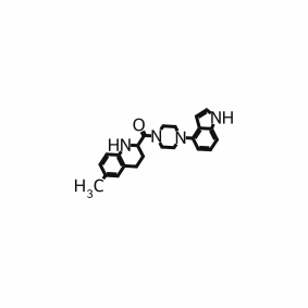 Cc1ccc2c(c1)CCC(C(=O)N1CCN(c3cccc4[nH]ccc34)CC1)N2